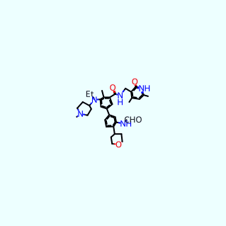 CCN(c1cc(-c2ccc(C3CCOCC3)c(NC=O)c2)cc(C(=O)NCc2c(C)cc(C)[nH]c2=O)c1C)C1CCN(C)CC1